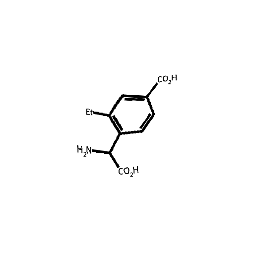 CCc1cc(C(=O)O)ccc1C(N)C(=O)O